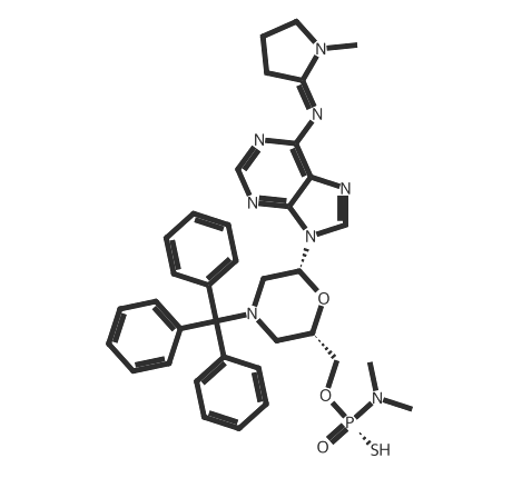 CN1CCC/C1=N\c1ncnc2c1ncn2[C@H]1CN(C(c2ccccc2)(c2ccccc2)c2ccccc2)C[C@@H](CO[P@@](=O)(S)N(C)C)O1